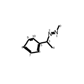 CN=NC(C)c1ccccc1